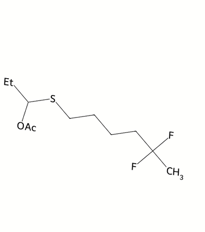 CCC(OC(C)=O)SCCCCC(C)(F)F